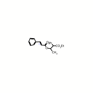 CCOC(=O)C(C(C)C)C(C)OC(=O)/C=C/c1ccccc1